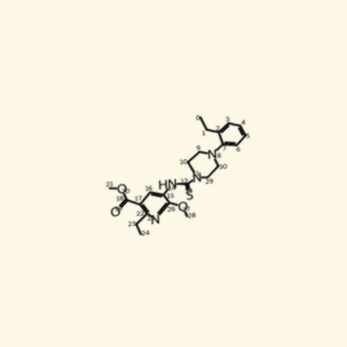 CCc1ccccc1N1CCN(C(=S)Nc2cc(C(=O)OC)c(CC)nc2OC)CC1